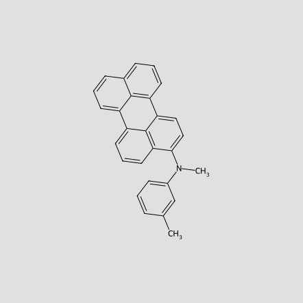 Cc1cccc(N(C)c2ccc3c4cccc5cccc(c6cccc2c63)c54)c1